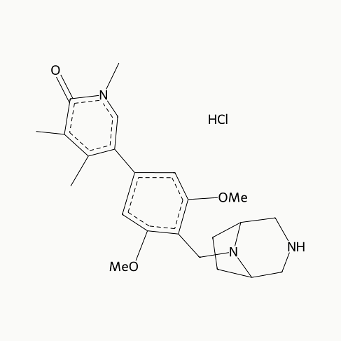 COc1cc(-c2cn(C)c(=O)c(C)c2C)cc(OC)c1CN1C2CCC1CNC2.Cl